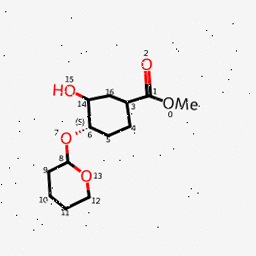 COC(=O)C1CC[C@H](OC2CCCCO2)C(O)C1